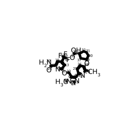 Cc1nc(-c2nnn(C)c2COc2cc(C(F)(F)F)cc(C(N)=O)n2)ccc1O[C@H]1CCC[C@H](C(=O)O)C1